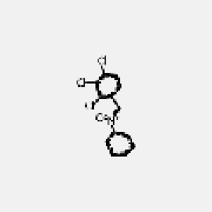 [O-][N+](=Cc1ccc(Cl)c(Cl)c1Cl)c1ccccc1